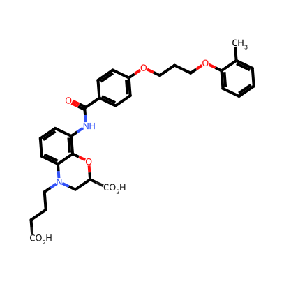 Cc1ccccc1OCCCOc1ccc(C(=O)Nc2cccc3c2OC(C(=O)O)CN3CCCC(=O)O)cc1